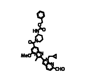 COc1cc(C(=O)N2CCC[C@@H](NC(=O)OCc3ccccc3)C2)cc2nc(-c3cc4ccc(C=O)nc4n3CC3CC3)c(C)n12